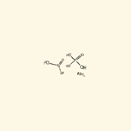 O=P(O)(O)O.O=[Si](O)O.[AlH3]